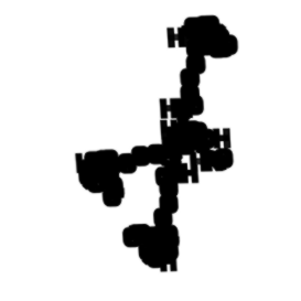 CC(=O)NCCCC[C@H](NC(=O)[C@H](CCCCNC(=O)COCCOCCOCCO[C@@H]1O[C@H](COC(C)=O)[C@H](OC(C)=O)[C@H](OC(C)=O)[C@H]1NC(C)=O)CC(=O)[C@H](CCCCNC(=O)COCCOCCOCCO[C@@H]1O[C@H](COC(C)=O)[C@H](OC(C)=O)[C@H](OC(C)=O)[C@H]1NC(C)=O)NC(=O)COCCOCCOCCO[C@@H]1O[C@H](COC(C)=O)[C@H](OC(C)=O)[C@H](OC(C)=O)[C@H]1NC(C)=O)C(=O)O